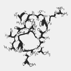 CC(C)C[C@H](NC(=O)[C@H](C)NC(=O)[C@H](CCCN=C(N)N)NC(=O)C(C)N1CC/C=C/CCC(=O)N[C@@H](CCC(=O)O)C(=O)N[C@@H](CC(C)C)C1=O)C(=O)N[C@@H](CC(=O)O)C(=O)N[C@@H](CCC(N)=O)C(N)=O